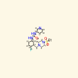 CCS(=O)(=O)N1CCN(Cc2cc(NC(=O)Nc3cccnc3)ccc2F)CC1